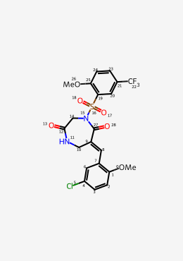 COc1ccc(Cl)cc1C=C1CNC(=O)CN(S(=O)(=O)c2cc(C(F)(F)F)ccc2OC)C1=O